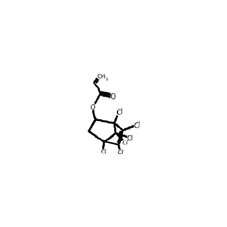 C=CC(=O)OC1CC2(Cl)C(Cl)=C(Cl)C1(Cl)C2(Cl)Cl